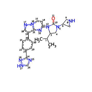 CC(C)C1CN(C2CNC2)C(=O)N1c1ccn2ncc(-c3ccc(-c4nc[nH]n4)cc3)c2n1